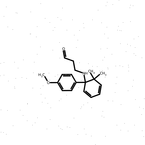 COc1ccc(C2(NCCC=O)C=CC=CC2(C)C)cc1